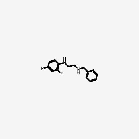 Fc1ccc(NCCNCc2ccccc2)c(F)c1